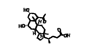 CC(=O)C1C[C@@H](O)CC2[C@@H](O)C[C@@H]3[C@H](CC[C@]4(C)[C@@H]([C@H](C)CCC(=O)O)CC[C@@H]34)[C@@]12C